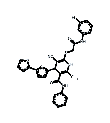 CCc1cccc(NC(=O)CSC2=C(C#N)C(c3ccc(-c4ccco4)s3)C(C(=O)Nc3ccccc3)=C(C)N2)c1